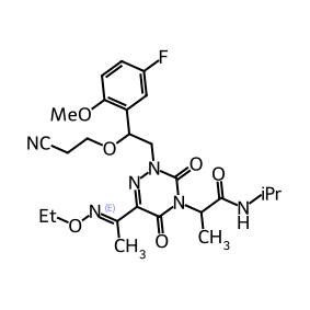 CCO/N=C(\C)c1nn(CC(OCCC#N)c2cc(F)ccc2OC)c(=O)n(C(C)C(=O)NC(C)C)c1=O